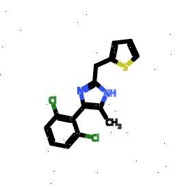 Cc1[nH]c(Cc2cccs2)nc1-c1c(Cl)cccc1Cl